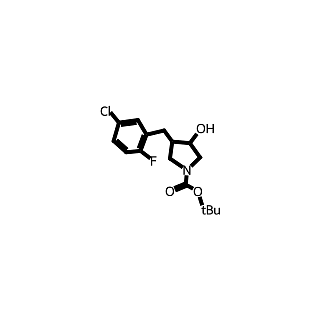 CC(C)(C)OC(=O)N1CC(O)C(Cc2cc(Cl)ccc2F)C1